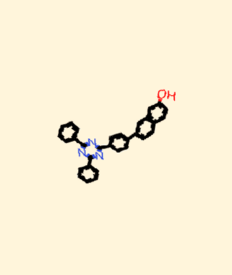 Oc1ccc2ccc(-c3ccc(-c4nc(-c5ccccc5)nc(-c5ccccc5)n4)cc3)cc2c1